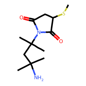 CSC1CC(=O)N(C(C)(C)CC(C)(C)N)C1=O